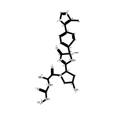 BBC(=O)NC(C(=O)N1CC(O)CC1C1=NC(=O)[C@@](C)(c2ccc(-c3scnc3C)cc2)N1)C(C)(C)C